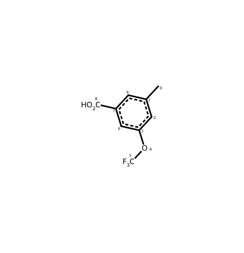 Cc1cc(OC(F)(F)F)cc(C(=O)O)c1